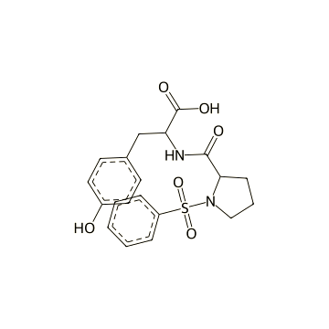 O=C(O)C(Cc1ccc(O)cc1)NC(=O)C1CCCN1S(=O)(=O)c1ccccc1